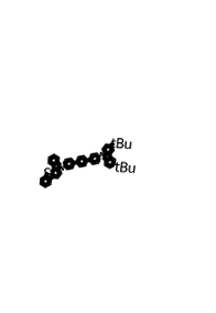 CC(C)(C)c1ccc2c(c1)c1cc(C(C)(C)C)ccc1n2-c1ccc(-c2ccc(-c3ccc(-n4c5ccccc5c5c6sc7ccccc7c6ccc54)cc3)cc2)cc1